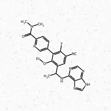 [C-]#[N+]c1cc(C(C)Nc2ncnc3[nH]cnc23)c(OCC)c(-c2ccc(C(=O)N(C)C)nc2)c1F